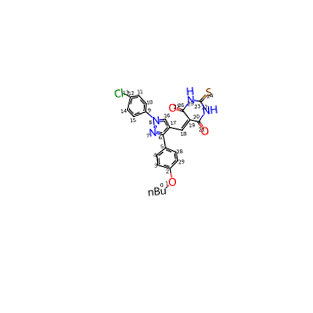 CCCCOc1ccc(-c2nn(-c3ccc(Cl)cc3)cc2C=C2C(=O)NC(=S)NC2=O)cc1